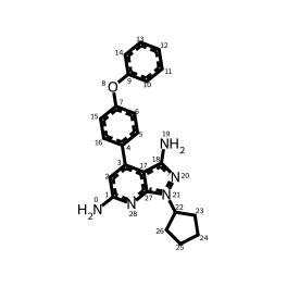 Nc1cc(-c2ccc(Oc3ccccc3)cc2)c2c(N)nn(C3CCCC3)c2n1